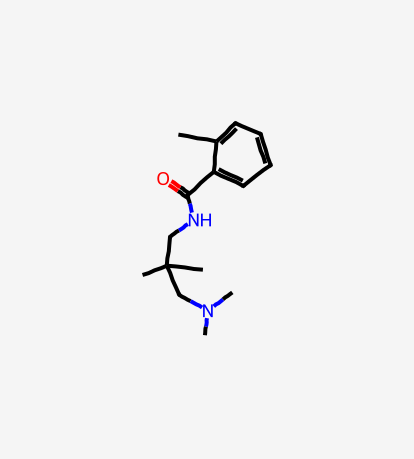 Cc1ccccc1C(=O)NCC(C)(C)CN(C)C